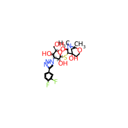 CCN(C)C(=O)C(S[C@@H]1O[C@H](CO)[C@H](O)[C@H](n2cc(-c3ccc(F)c(F)c3)nn2)[C@H]1O)C1(O)CCOCC1